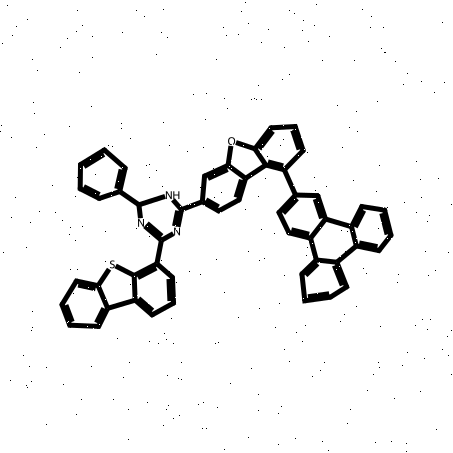 c1ccc(C2N=C(c3cccc4c3sc3ccccc34)N=C(c3ccc4c(c3)oc3cccc(-c5ccc6c7ccccc7c7ccccc7c6c5)c34)N2)cc1